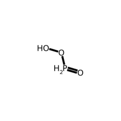 O=[PH2]OO